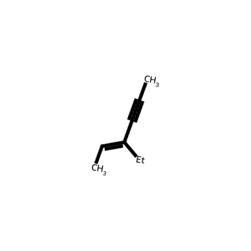 CC#C/C(=C/C)CC